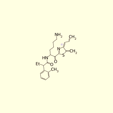 C=C/C=c1/nc(C(=O)C(CCCCN)NC(=O)C(CC)c2ccccc2C)sc1=C